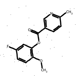 COc1ccc(F)cc1OC(=O)c1ccc(C)nc1